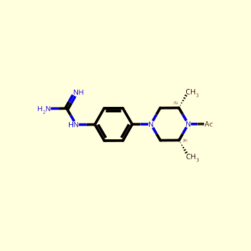 CC(=O)N1[C@H](C)CN(c2ccc(NC(=N)N)cc2)C[C@@H]1C